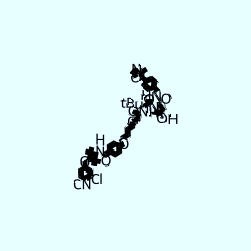 Cc1ncoc1-c1ccc(CNC(=O)[C@@H]2C[C@@H](O)CN2C(=O)C(NC(=O)COCCCCOc2ccc(C(=O)N[C@H]3C(C)(C)[C@H](Oc4ccc(C#N)c(Cl)c4)C3(C)C)cc2)C(C)(C)C)cc1